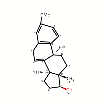 COc1ccc2c(c1)CC=C1[C@@H]2CC[C@]2(C)[C@@H](O)CC[C@@H]12